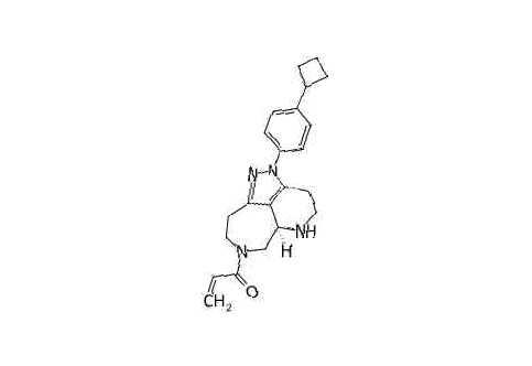 C=CC(=O)N1CCc2nn(-c3ccc(C4CCC4)cc3)c3c2[C@H](C1)NCC3